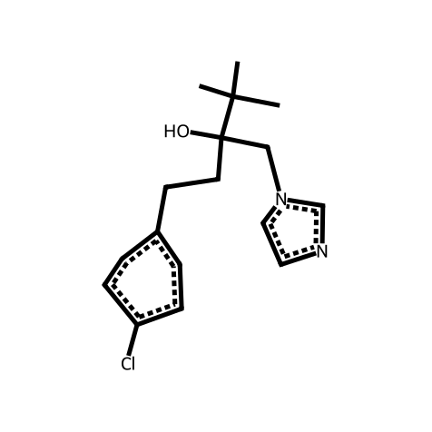 CC(C)(C)C(O)(CCc1ccc(Cl)cc1)Cn1ccnc1